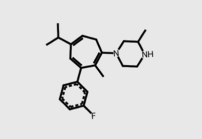 CC1=C(N2CCNC(C)C2)CC=C(C(C)C)C=C1c1cccc(F)c1